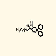 CON=CC1=C2C=CC(c3ccccc3)(c3ccccc3)C=C2NN1